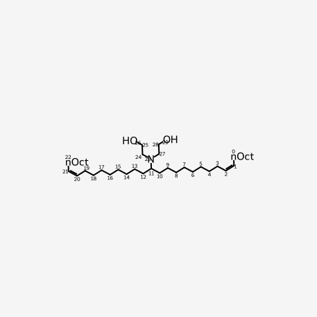 CCCCCCCC/C=C\CCCCCCCCC(CCCCCCCC/C=C\CCCCCCCC)N(CCO)CCO